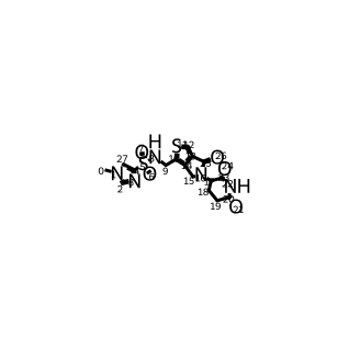 Cn1cnc(S(=O)(=O)NCc2scc3c2CN(C2CCC(=O)NC2=O)C3=O)c1